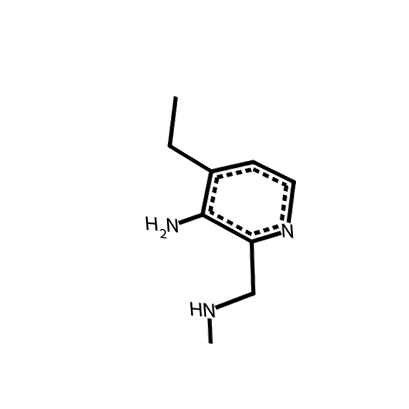 CCc1ccnc(CNC)c1N